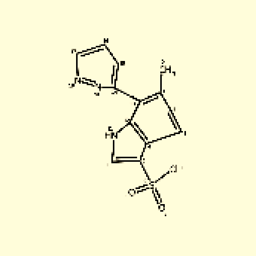 Cc1ccc2c(S(=O)(=O)Cl)c[nH]c2c1-c1cccnn1